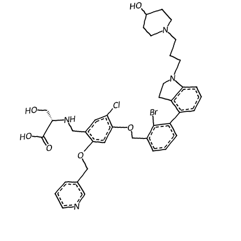 O=C(O)[C@H](CO)NCc1cc(Cl)c(OCc2cccc(-c3cccc4c3CCN4CCCN3CCC(O)CC3)c2Br)cc1OCc1cccnc1